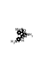 COC(=O)C(c1ccccc1)c1nc(N)nc2[nH]c(-c3ccc(N)cc3)cc12